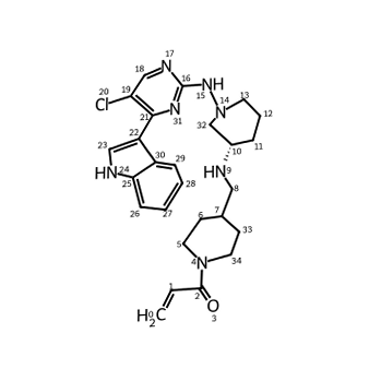 C=CC(=O)N1CCC(CN[C@H]2CCCN(Nc3ncc(Cl)c(-c4c[nH]c5ccccc45)n3)C2)CC1